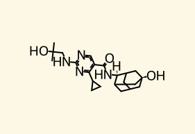 CC(C)(O)CNc1ncc(C(=O)N[C@H]2C3CC4CC2C[C@@](O)(C4)C3)c(C2CC2)n1